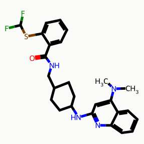 CN(C)c1cc(NC2CCC(CNC(=O)c3ccccc3SC(F)F)CC2)nc2ccccc12